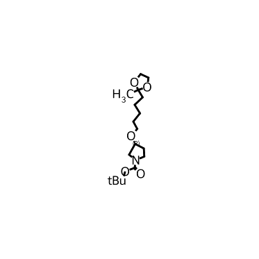 CC(C)(C)OC(=O)N1CC[C@@H](OCCCCCC2(C)OCCO2)C1